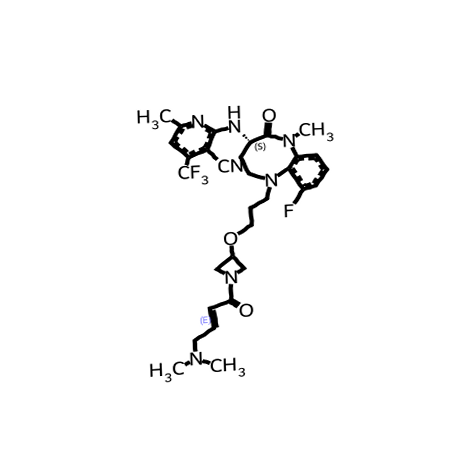 Cc1cc(C(F)(F)F)c(C#N)c(N[C@H]2CCN(CCCOC3CN(C(=O)/C=C/CN(C)C)C3)c3c(F)cccc3N(C)C2=O)n1